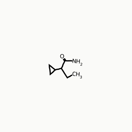 CCC(C(N)=O)C1CC1